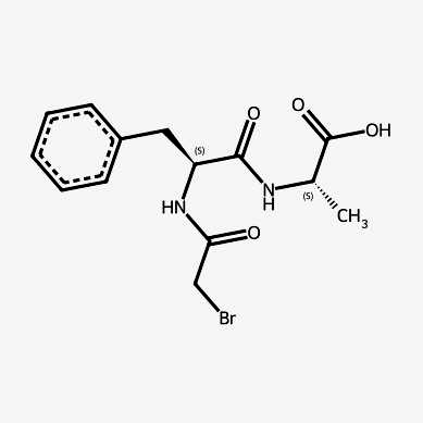 C[C@H](NC(=O)[C@H](Cc1ccccc1)NC(=O)CBr)C(=O)O